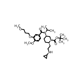 COCCCOc1cc(C(=O)N(C(C)C)[C@@H]2CC[C@H](CCNC3CC3)N(C(=O)OC(C)(C)C)C2)ccc1OC